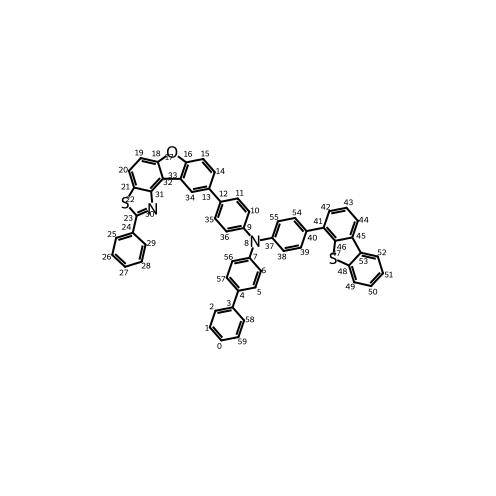 c1ccc(-c2ccc(N(c3ccc(-c4ccc5oc6ccc7sc(-c8ccccc8)nc7c6c5c4)cc3)c3ccc(-c4cccc5c4sc4ccccc45)cc3)cc2)cc1